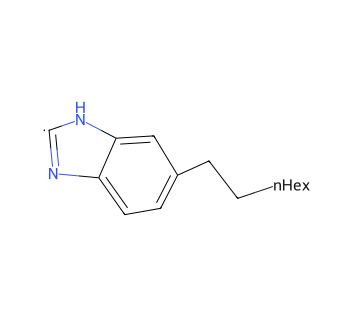 CCCCCCCCc1ccc2n[c][nH]c2c1